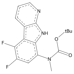 CN(C(=O)OC(C)(C)C)c1cc(F)c(F)c2c1[nH]c1ncccc12